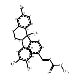 COC(=O)/C=C/c1ccc(C2(C)c3ccc(O)cc3CCN2c2ccc(O)c(C)c2)cc1